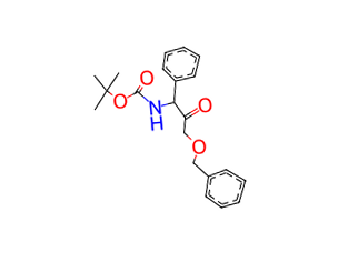 CC(C)(C)OC(=O)NC(C(=O)COCc1ccccc1)c1ccccc1